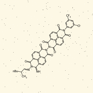 CCCCC(C)C=NN1C(=N)c2ccc3c4c(ccc(c24)C1=O)C(=O)N(N1C(=O)c2ccc4c5c(ccc(c25)C1=O)C(=O)N(c1cc(Cl)cc(C(F)(F)F)c1)C4=O)C3=O